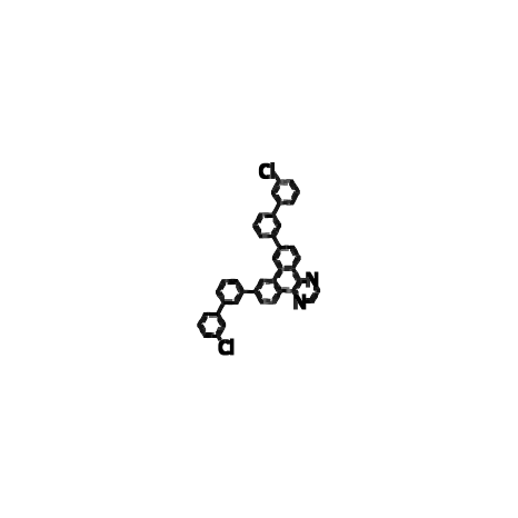 Clc1cccc(-c2cccc(-c3ccc4c(c3)c3cc(-c5cccc(-c6cccc(Cl)c6)c5)ccc3c3nccnc43)c2)c1